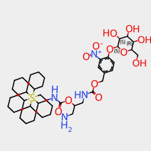 NCC(CNC(=O)OCc1ccc(O[C@@H]2OC(CO)[C@H](O)C(O)[C@@H]2O)c([N+](=O)[O-])c1)OC(=O)NCCS(C1CCCCC1)(C1CCCCC1)(C1CCCCC1)(C1CCCCC1)C1CCCCC1